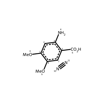 COc1cc(N)c(C(=O)O)cc1OC.N#N